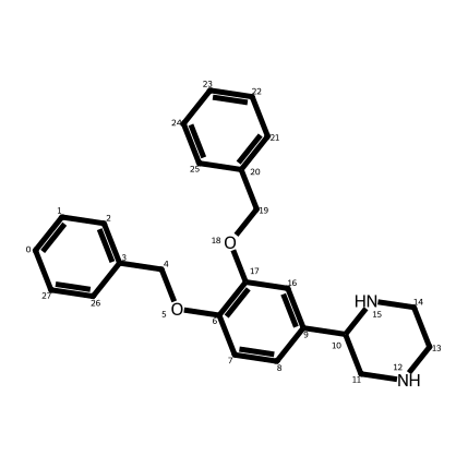 c1ccc(COc2ccc(C3CNCCN3)cc2OCc2ccccc2)cc1